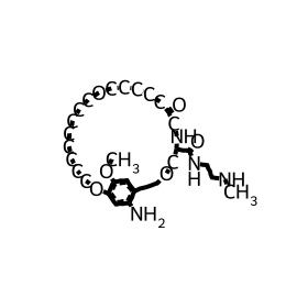 CNCCNC(=O)C1COCc2cc(OC)c(cc2N)OCCCCCCCCOCCCCCC(=O)CN1